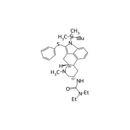 CCN(CC)C(=O)N[C@H]1CC2c3cccc4c3c(c(Sc3ccccc3)n4[Si](C)(C)C(C)(C)C)C[C@H]2N(C)C1